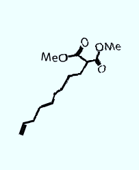 C=CCCCCCCCC(C(=O)OC)C(=O)OC